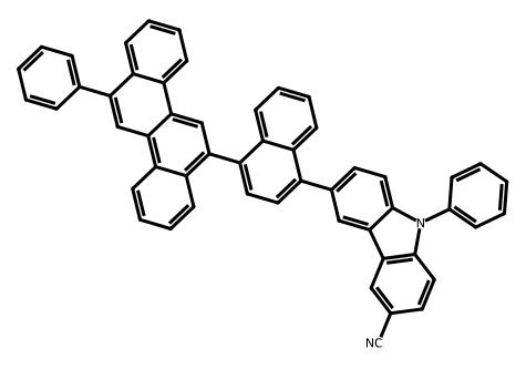 N#Cc1ccc2c(c1)c1cc(-c3ccc(-c4cc5c6ccccc6c(-c6ccccc6)cc5c5ccccc45)c4ccccc34)ccc1n2-c1ccccc1